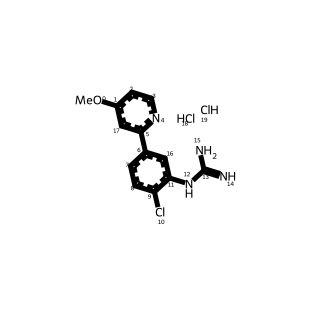 COc1ccnc(-c2ccc(Cl)c(NC(=N)N)c2)c1.Cl.Cl